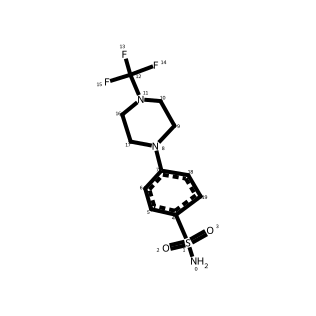 NS(=O)(=O)c1ccc(N2CCN(C(F)(F)F)CC2)cc1